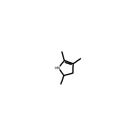 CC1=C(C)NC(C)C1